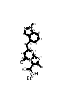 CCNC(=O)c1c(C)sc2nc(Cc3cccc4c3cnn4C)cc(=O)n12